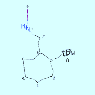 CC(C)(C)C1CCCCC1CNI